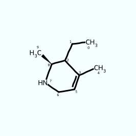 CCC1C(C)=CCN[C@H]1C